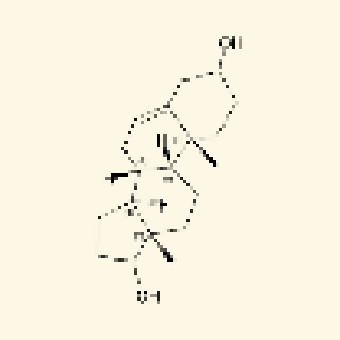 C[C@]12CCC(O)CC1=CC[C@@H]1[C@H]2CC[C@]2(C)C(O)CC[C@@]12F